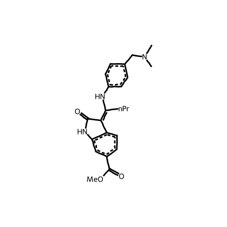 CCC/C(Nc1ccc(CN(C)C)cc1)=C1/C(=O)Nc2cc(C(=O)OC)ccc21